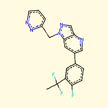 CC(F)(F)c1cc(-c2cnc3cnn(Cc4cccnn4)c3c2)ccc1F